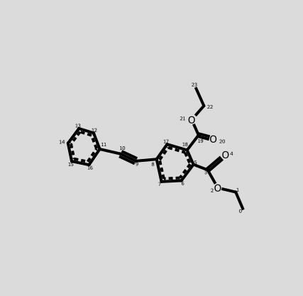 CCOC(=O)c1ccc(C#Cc2ccccc2)cc1C(=O)OCC